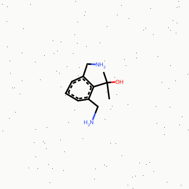 CC(C)(O)c1c(CN)cccc1CN